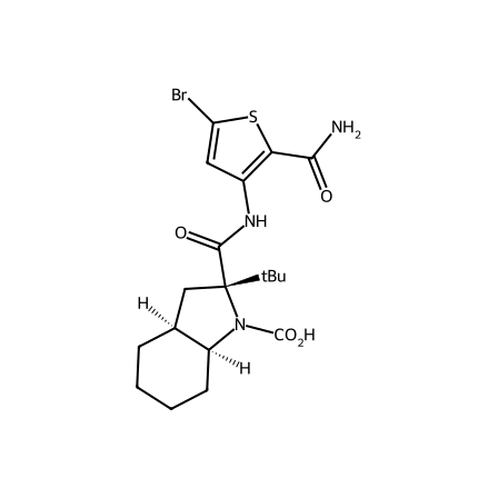 CC(C)(C)[C@]1(C(=O)Nc2cc(Br)sc2C(N)=O)C[C@@H]2CCCC[C@@H]2N1C(=O)O